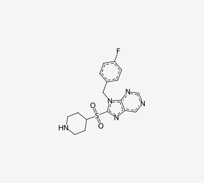 O=S(=O)(c1nc2cncnc2n1Cc1ccc(F)cc1)C1CCNCC1